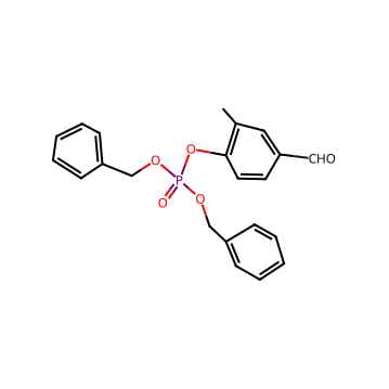 Cc1cc(C=O)ccc1OP(=O)(OCc1ccccc1)OCc1ccccc1